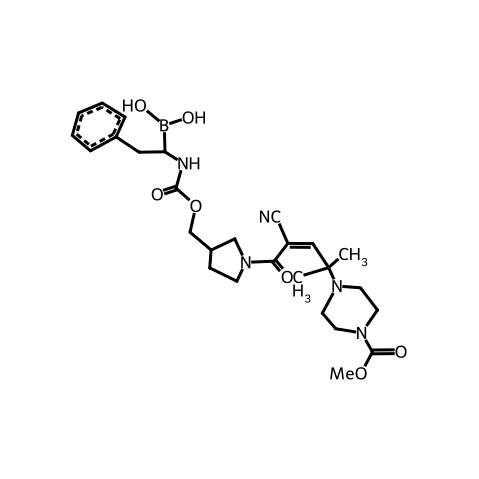 COC(=O)N1CCN(C(C)(C)C=C(C#N)C(=O)N2CCC(COC(=O)NC(Cc3ccccc3)B(O)O)C2)CC1